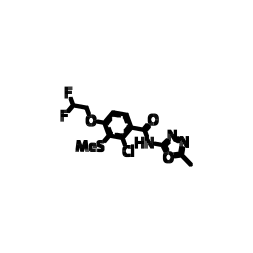 CSc1c(OCC(F)F)ccc(C(=O)Nc2nnc(C)o2)c1Cl